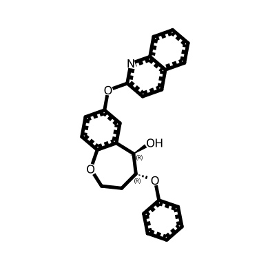 O[C@@H]1c2cc(Oc3ccc4ccccc4n3)ccc2OCC[C@H]1Oc1ccccc1